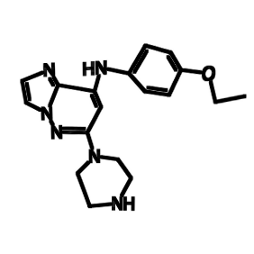 CCOc1ccc(Nc2cc(N3CCNCC3)nn3ccnc23)cc1